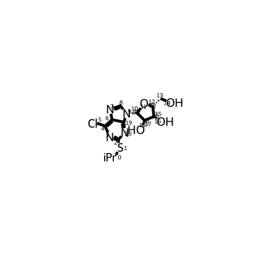 CC(C)Sc1nc(Cl)c2ncn([C@@H]3O[C@H](CO)[C@@H](O)[C@H]3O)c2n1